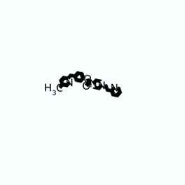 Cc1ccc(Cc2ccc(OC(=O)N3CCN(CCc4ccccn4)CC3)cc2)nc1